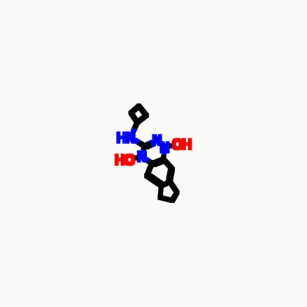 ON1N=C(NC2CCC2)N(O)c2cc3c(cc21)CCC3